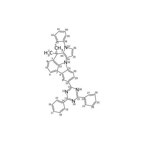 CC1(C)c2cccc3c4cc(-c5nc(-c6ccccc6)nc(-c6ccccc6)n5)ccc4n(c23)-c2ccn(-c3ccccc3)c21